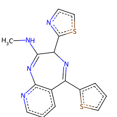 CNC1=Nc2ncccc2C(c2cccs2)=NC1c1nccs1